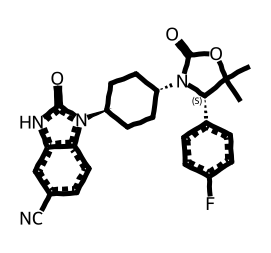 CC1(C)OC(=O)N([C@H]2CC[C@H](n3c(=O)[nH]c4cc(C#N)ccc43)CC2)[C@H]1c1ccc(F)cc1